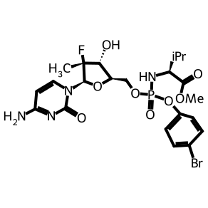 COC(=O)[C@@H](NP(=O)(OC[C@H]1O[C@@H](n2ccc(N)nc2=O)[C@](C)(F)[C@@H]1O)Oc1ccc(Br)cc1)C(C)C